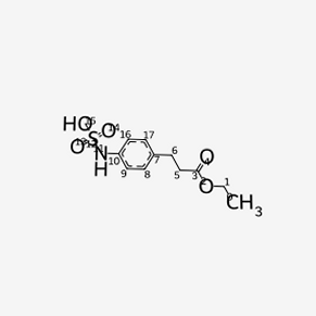 CCOC(=O)CCc1ccc(NS(=O)(=O)O)cc1